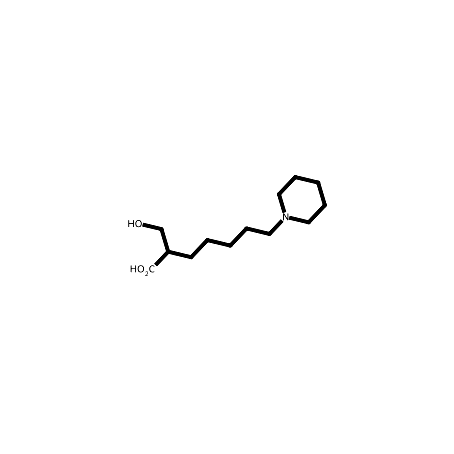 O=C(O)C(CO)CCCCCN1CCCCC1